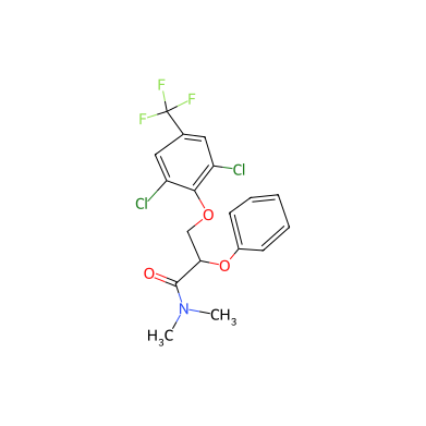 CN(C)C(=O)C(COc1c(Cl)cc(C(F)(F)F)cc1Cl)Oc1ccccc1